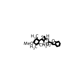 COc1cc(C)c(-c2scc(NC(=O)c3cc4ccccc4o3)c2C(=O)O)c(C)c1C